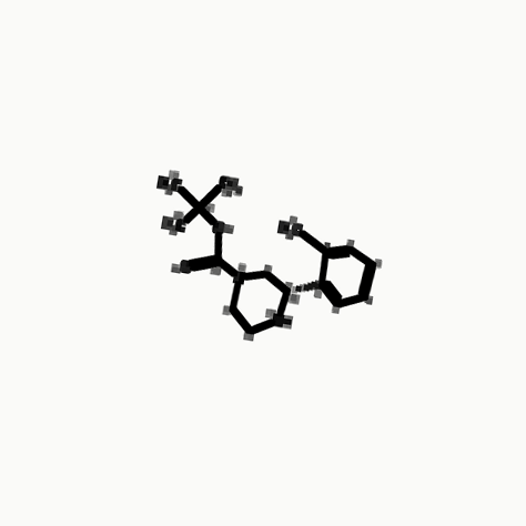 Cc1ccccc1[C@H]1CN(C(=O)OC(C)(C)C)CCN1